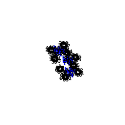 c1ccc(-c2nc(-n3c4ccccc4c4ccc(-c5nnc(-c6ccc7c8ccccc8n(-c8nc(-c9ccccc9)c9ccccc9n8)c7c6)n5-c5ccccc5)cc43)nc3ccccc23)cc1